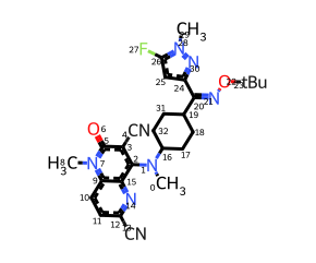 CN(c1c(C#N)c(=O)n(C)c2ccc(C#N)nc12)C1CCC(/C(=N/OC(C)(C)C)c2cc(F)n(C)n2)CC1